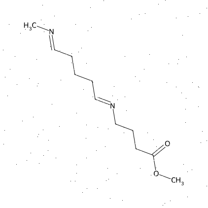 C/N=C/CCC/C=N/CCCC(=O)OC